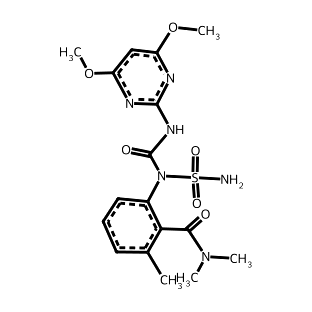 COc1cc(OC)nc(NC(=O)N(c2cccc(C)c2C(=O)N(C)C)S(N)(=O)=O)n1